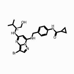 CC(C)[C@@H](CO)Nc1cc(NCc2ccc(NC(=O)C3CC3)cc2)n2ncc(Br)c2n1